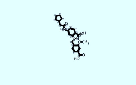 COc1cc(C(=O)O)ccc1Cn1nc(O)c2ccc(NC(=O)CC3CCCC3)cc21